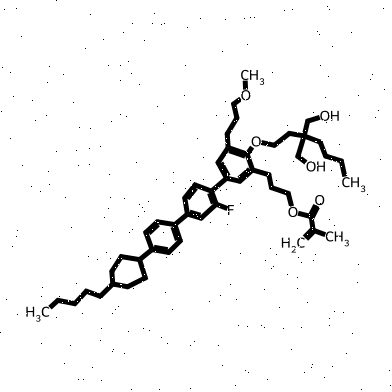 C=C(C)C(=O)OCCCc1cc(-c2ccc(-c3ccc(C4CCC(CCCCC)CC4)cc3)cc2F)cc(CCCOC)c1OCCC(CO)(CO)CCCC